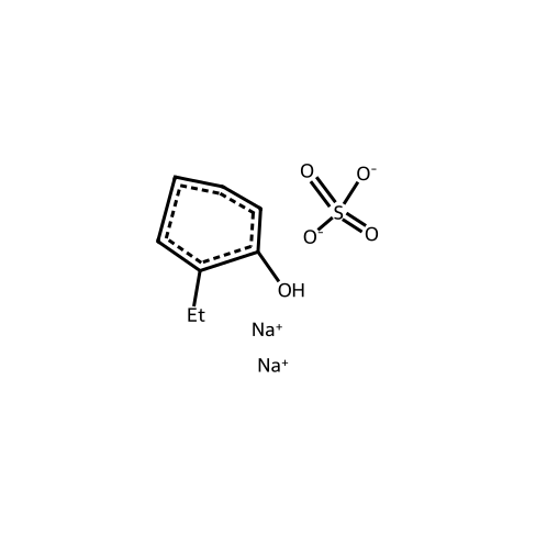 CCc1ccccc1O.O=S(=O)([O-])[O-].[Na+].[Na+]